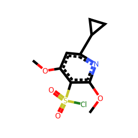 COc1cc(C2CC2)nc(OC)c1S(=O)(=O)Cl